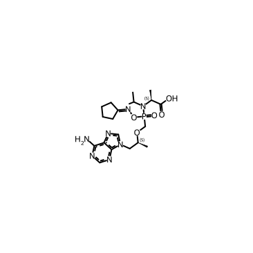 CC(C)N([C@@H](C)C(=O)O)P(=O)(CO[C@@H](C)Cn1cnc2c(N)ncnc21)ON=C1CCCC1